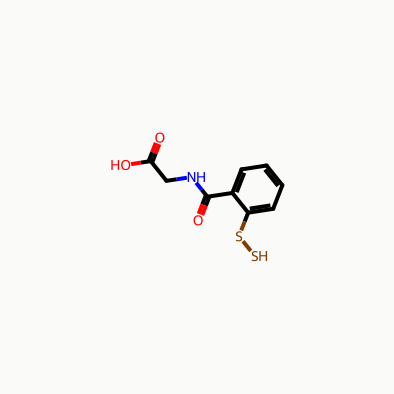 O=C(O)CNC(=O)c1ccccc1SS